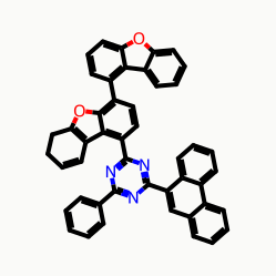 C1=Cc2c(oc3c(-c4cccc5oc6ccccc6c45)ccc(-c4nc(-c5ccccc5)nc(-c5cc6ccccc6c6ccccc56)n4)c23)CC1